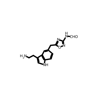 NCCc1c[nH]c2ccc(Cc3nc(NC=O)no3)cc12